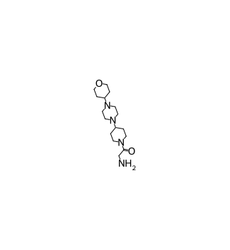 NCC(=O)N1CCC(N2CCN(C3CCOCC3)CC2)CC1